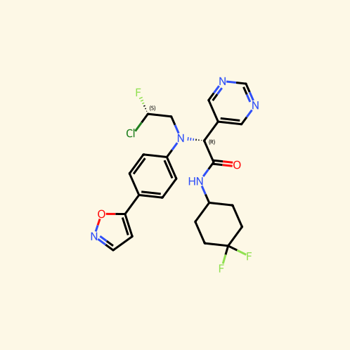 O=C(NC1CCC(F)(F)CC1)[C@@H](c1cncnc1)N(C[C@@H](F)Cl)c1ccc(-c2ccno2)cc1